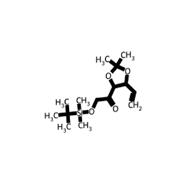 C=CC1OC(C)(C)OC1C(=O)CO[Si](C)(C)C(C)(C)C